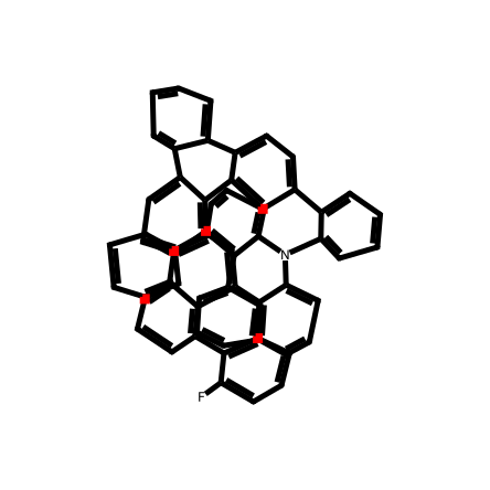 Fc1ccccc1-c1cccc2cccc(-c3ccccc3N(c3ccccc3-c3ccc4c5ccccc5c5ccccc5c4c3)c3cccc(-c4ccccc4)c3-c3ccccc3)c12